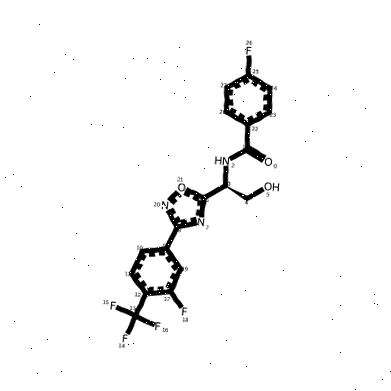 O=C(N[C@@H](CO)c1nc(-c2ccc(C(F)(F)F)c(F)c2)no1)c1ccc(F)cc1